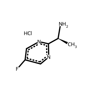 C[C@H](N)c1ncc(F)cn1.Cl